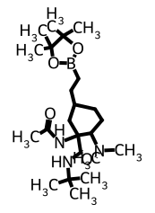 CC(=O)NC1(C(=O)NC(C)(C)C)CC(CCB2OC(C)(C)C(C)(C)O2)CCC1N(C)C